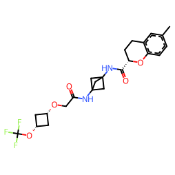 Cc1ccc2c(c1)CC[C@@H](C(=O)NC13CC(NC(=O)CO[C@H]4C[C@@H](OC(F)(F)F)C4)(C1)C3)O2